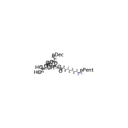 CCCCC/C=C\CCCCCCCC(=O)OC[C@H](COP(=O)(O)OC[C@@H](O)CO)OC(=O)CCCCCCCCCCCC